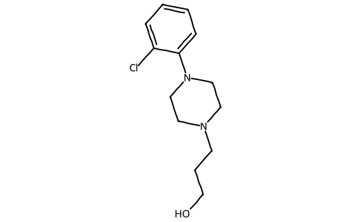 OCCCN1CCN(c2ccccc2Cl)CC1